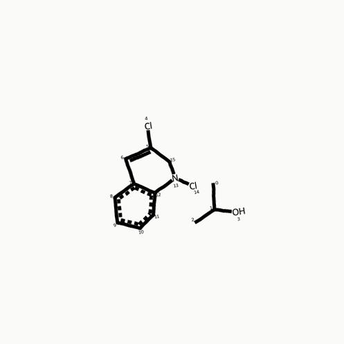 CC(C)O.ClC1=Cc2ccccc2N(Cl)C1